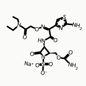 CCN(CC)C(=O)CO/N=C(\C(=O)N[C@@H]1C(=O)N(S(=O)(=O)[O-])[C@@H]1COC(N)=O)c1csc(N)n1.[Na+]